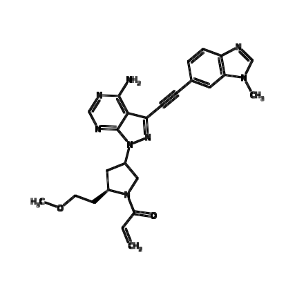 C=CC(=O)N1CC(n2nc(C#Cc3ccc4ncn(C)c4c3)c3c(N)ncnc32)C[C@@H]1CCOC